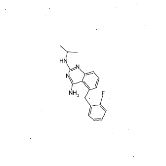 CC(C)Nc1nc(N)c2c(Cc3ccccc3F)cccc2n1